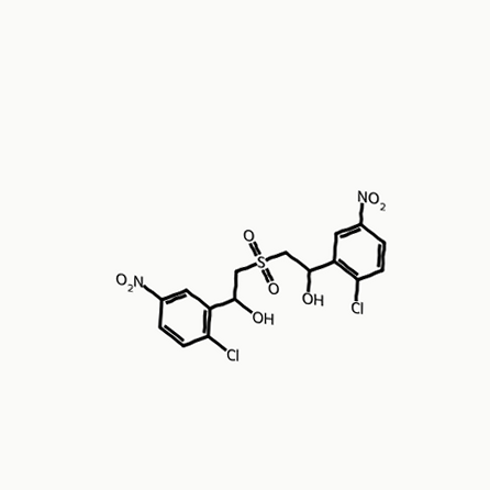 O=[N+]([O-])c1ccc(Cl)c(C(O)CS(=O)(=O)CC(O)c2cc([N+](=O)[O-])ccc2Cl)c1